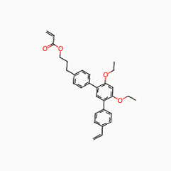 C=CC(=O)OCCCc1ccc(-c2cc(-c3ccc(C=C)cc3)c(OCC)cc2OCC)cc1